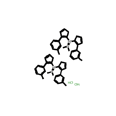 Cc1cccc(C2=[C]([Hf]([C]3=C(c4cccc(C)c4)C=CC3)=[Si](C)C)CC=C2)c1.Cc1cccc(C2=[C]([Hf]([C]3=C(c4cccc(C)c4)C=CC3)=[Si](C)C)CC=C2)c1.Cl.Cl